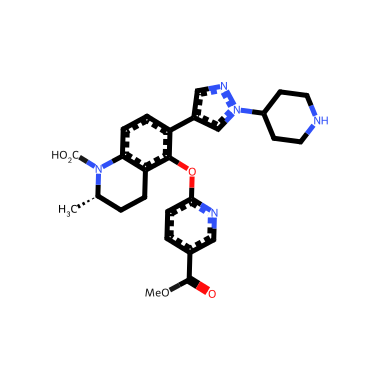 COC(=O)c1ccc(Oc2c(-c3cnn(C4CCNCC4)c3)ccc3c2CC[C@H](C)N3C(=O)O)nc1